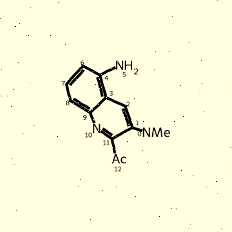 CNc1cc2c(N)cccc2nc1C(C)=O